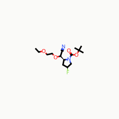 CCOCCOC(C#N)[C@@H]1C[C@H](F)CN1C(=O)OC(C)(C)C